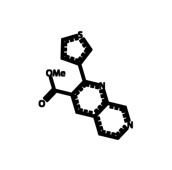 COC(=O)c1cc2ccncc2nc1-c1ccsc1